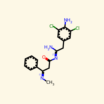 C/N=C(\CC(=O)/N=C(\N)Cc1cc(Cl)c(N)c(Cl)c1)c1ccccc1